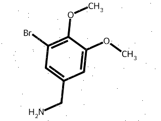 COc1cc(CN)cc(Br)c1OC